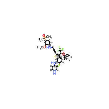 COc1cc(P(C)(C)=O)ccc1NCC#Cc1sc2c(NC3CCNCC3F)cccc2c1C(O[Si](C)(C)C)C(F)(F)F